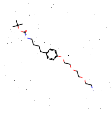 CC(C)(C)OC(=O)NCCCCc1ccc(OCCOCCOCCN)cc1